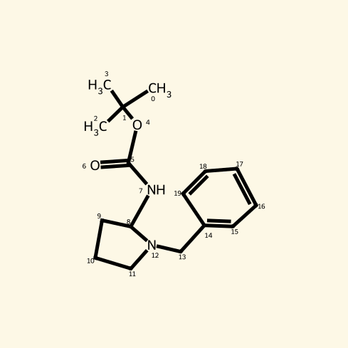 CC(C)(C)OC(=O)NC1CCCN1Cc1ccccc1